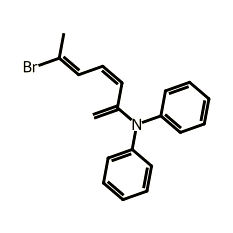 C=C(/C=C\C=C(/C)Br)N(c1ccccc1)c1ccccc1